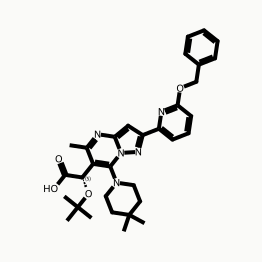 Cc1nc2cc(-c3cccc(OCc4ccccc4)n3)nn2c(N2CCC(C)(C)CC2)c1[C@H](OC(C)(C)C)C(=O)O